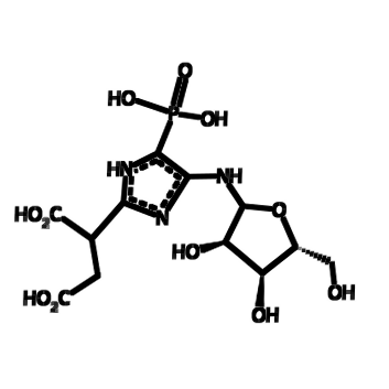 O=C(O)CC(C(=O)O)c1nc(NC2O[C@H](CO)[C@@H](O)[C@H]2O)c(P(=O)(O)O)[nH]1